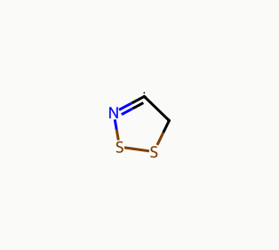 [C]1=NSSC1